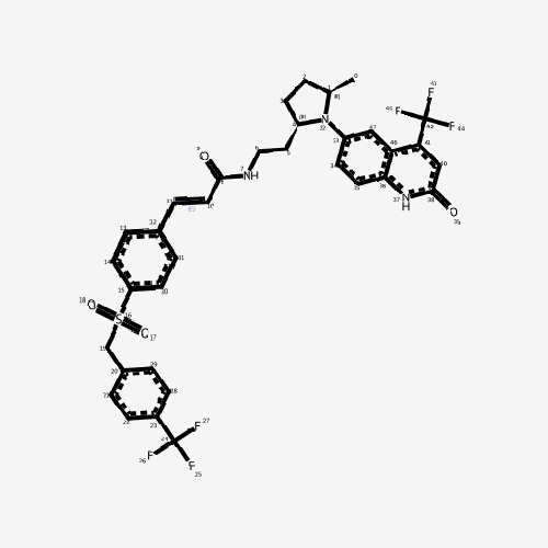 C[C@@H]1CC[C@H](CCNC(=O)/C=C/c2ccc(S(=O)(=O)Cc3ccc(C(F)(F)F)cc3)cc2)N1c1ccc2[nH]c(=O)cc(C(F)(F)F)c2c1